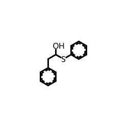 OC(Cc1ccccc1)Sc1ccccc1